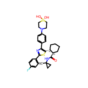 N#CC1(NC(=O)[C@@H]2CCCC[C@H]2c2sc(-c3ccc(F)cc3)nc2-c2ccc(N3CCS(O)(O)CC3)cc2)CC1